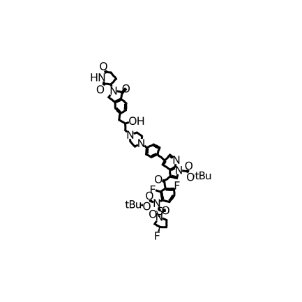 CC(C)(C)OC(=O)N(c1ccc(F)c(C(=O)c2cn(C(=O)OC(C)(C)C)c3ncc(-c4ccc(N5CCN(CC(O)Cc6ccc7c(c6)CN(C6CCC(=O)NC6=O)C7=O)CC5)cc4)cc23)c1F)S(=O)(=O)N1CC[C@@H](F)C1